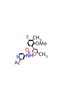 COc1c([C@H]2C[C@@H](C)O[C@@H]2C(=O)Nc2ccnc(C(C)=O)c2)ccc(F)c1C